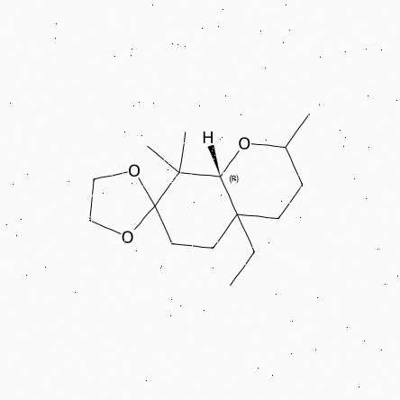 CCC12CCC(C)O[C@H]1C(C)(C)C1(CC2)OCCO1